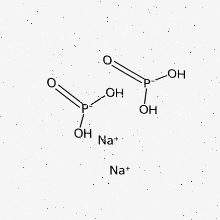 O=[P-](O)O.O=[P-](O)O.[Na+].[Na+]